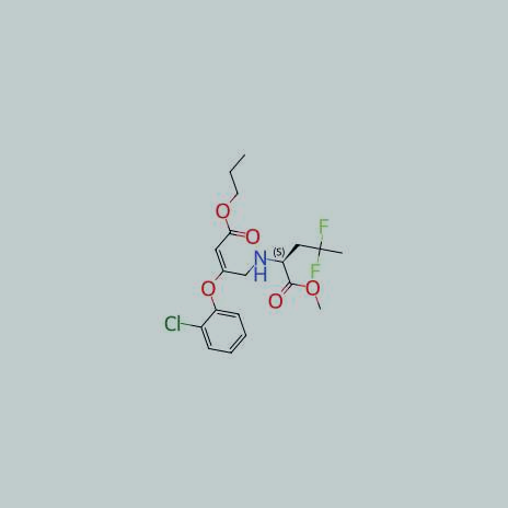 CCCOC(=O)C=C(CN[C@@H](CC(C)(F)F)C(=O)OC)Oc1ccccc1Cl